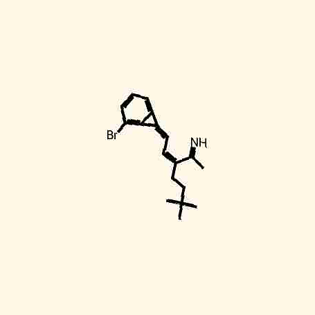 CC(=N)/C(=C\C=C1\c2cccc(Br)c21)CCC(C)(C)C